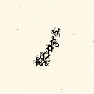 CC1(F)CN(c2ccc(N3CC(CNC(=O)C(F)(F)F)OC3=O)cc2)CCN1C(NC(=O)C(F)(F)F)C(Br)(Br)Br